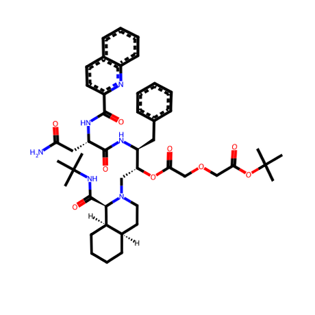 CC(C)(C)NC(=O)[C@@H]1[C@@H]2CCCC[C@@H]2CCN1C[C@@H](OC(=O)COCC(=O)OC(C)(C)C)[C@H](Cc1ccccc1)NC(=O)[C@H](CC(N)=O)NC(=O)c1ccc2ccccc2n1